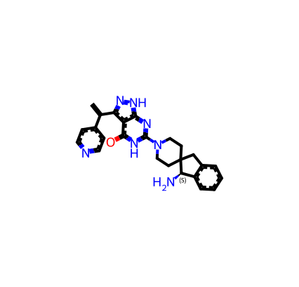 C=C(c1ccncc1)c1n[nH]c2nc(N3CCC4(CC3)Cc3ccccc3[C@H]4N)[nH]c(=O)c12